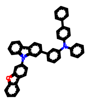 c1ccc(-c2ccc(N(c3ccccc3)c3cccc(-c4ccc5c6ccccc6n(-c6ccc7c(c6)oc6ccccc67)c5c4)c3)cc2)cc1